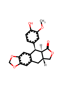 COc1cc([C@@H]2c3cc4c(cc3C[C@H]3COC(=O)[C@@H]32)OCO4)ccc1O